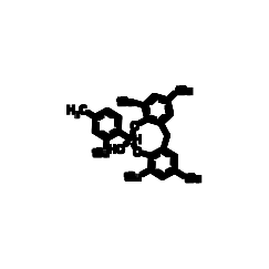 Cc1ccc([PH]2(O)Oc3c(cc(C(C)(C)C)cc3C(C)(C)C)Cc3cc(C(C)(C)C)cc(C(C)(C)C)c3O2)c(C(C)(C)C)c1